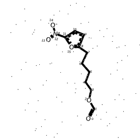 O=[C]OCCCCCc1ccc([N+](=O)[O-])o1